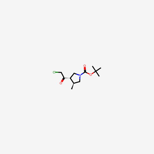 C[C@@H]1CN(C(=O)OC(C)(C)C)C[C@H]1C(=O)CCl